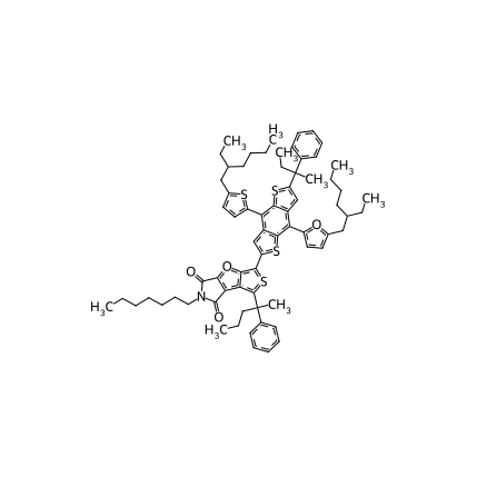 CCCCCCCN1C(=O)c2oc3c(-c4cc5c(-c6ccc(CC(CC)CCCC)s6)c6sc(C(C)(CC)c7ccccc7)cc6c(-c6ccc(CC(CC)CCCC)o6)c5s4)sc(C(C)(CCC)c4ccccc4)c3c2C1=O